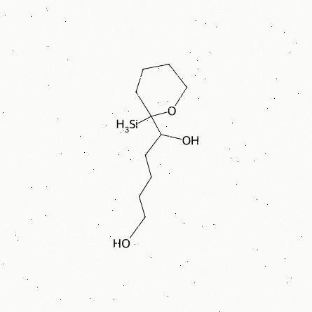 OCCCCC(O)C1([SiH3])CCCCO1